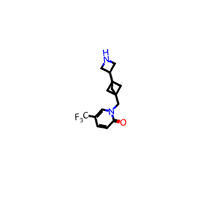 O=c1ccc(C(F)(F)F)cn1CC12CC(C3CNC3)(C1)C2